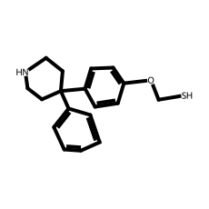 SCOc1ccc(C2(c3ccccc3)CCNCC2)cc1